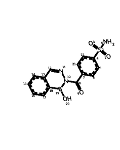 NS(=O)(=O)c1ccc(C(=O)N2N=Cc3ccccc3B2O)cc1